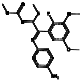 COC(=O)/N=C(SC)/C(=N/c1ccc(N)cc1)c1cc(OC)cc(OC)c1F